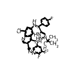 CC(C)(C)N1C=C([C@@H](Nc2cc(Cl)c3ncc(C#N)c(Nc4cnc(F)c(F)c4)c3c2)c2ccc(F)cc2)NN1